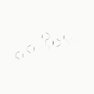 O=C(O)CCNC(=O)c1ccc(NC(COc2ccc(-c3ccc(C(F)(F)F)cc3Cl)cc2)c2ccccc2)cc1